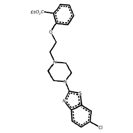 CCOC(=O)c1ccccc1OCCN1CCN(c2nc3ccc(Cl)cc3s2)CC1